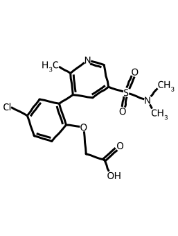 Cc1ncc(S(=O)(=O)N(C)C)cc1-c1cc(Cl)ccc1OCC(=O)O